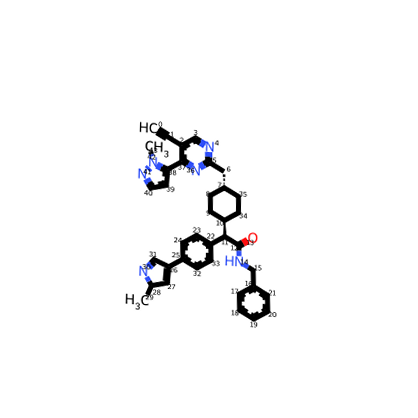 C#Cc1cnc(C[C@H]2CC[C@H](C(C(=O)NCc3ccccc3)c3ccc(C4=CC(C)N=C4)cc3)CC2)nc1-c1ccnn1C